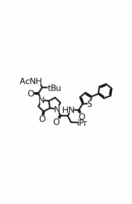 CC(=O)NC(C(=O)N1CC(=O)C2C1CCN2C(=O)C(CC(C)C)NC(=O)c1ccc(-c2ccccc2)s1)C(C)(C)C